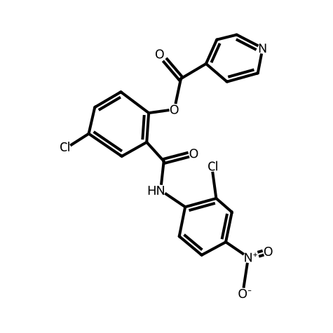 O=C(Oc1ccc(Cl)cc1C(=O)Nc1ccc([N+](=O)[O-])cc1Cl)c1ccncc1